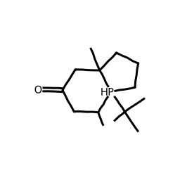 CC1CC(=O)CC2(C)CCC[PH]12C(C)(C)C